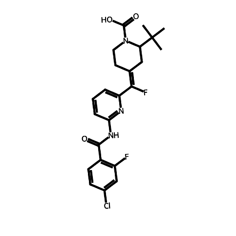 CC(C)(C)C1CC(=C(F)c2cccc(NC(=O)c3ccc(Cl)cc3F)n2)CCN1C(=O)O